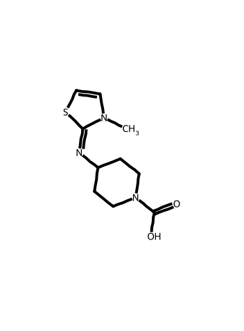 Cn1ccsc1=NC1CCN(C(=O)O)CC1